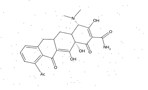 CC(=O)c1cccc2c1C(=O)C1=C(O)[C@]3(O)C(=O)C(C(N)=O)=C(O)[C@@H](N(C)C)C3CC1C2